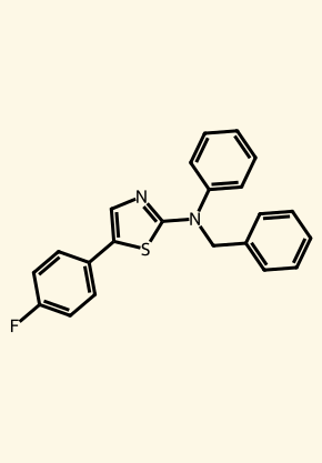 Fc1ccc(-c2cnc(N(Cc3ccccc3)c3ccccc3)s2)cc1